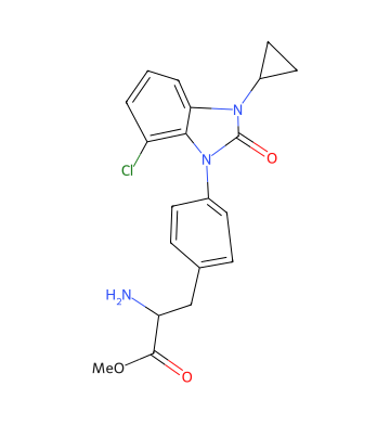 COC(=O)C(N)Cc1ccc(-n2c(=O)n(C3CC3)c3cccc(Cl)c32)cc1